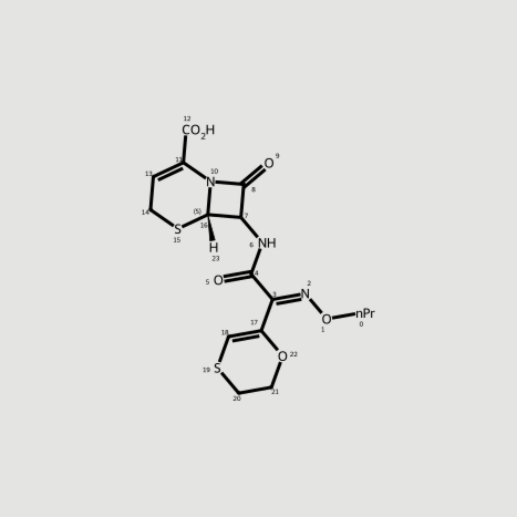 CCCON=C(C(=O)NC1C(=O)N2C(C(=O)O)=CCS[C@@H]12)C1=CSCCO1